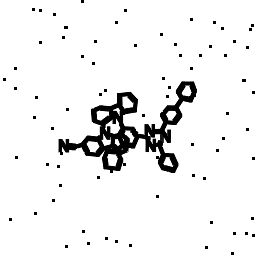 N#Cc1ccc2c3ccccc3n(-c3cccc4c5ccccc5n(-c5cc(-c6ccccc6)cc(-c6nc(-c7ccccc7)nc(-c7ccc(-c8ccccc8)cc7)n6)c5)c34)c2c1